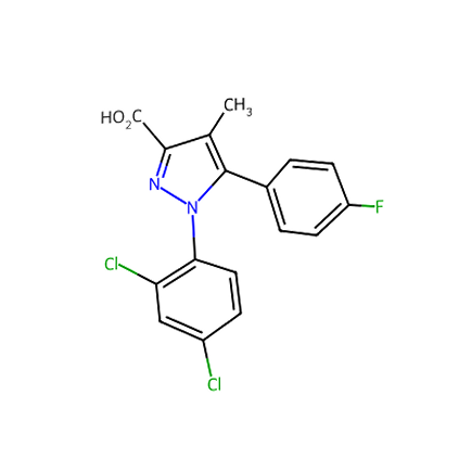 Cc1c(C(=O)O)nn(-c2ccc(Cl)cc2Cl)c1-c1ccc(F)cc1